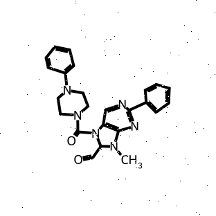 CN1c2nc(-c3ccccc3)ncc2N(C(=O)N2CCN(c3ccccc3)CC2)C1C=O